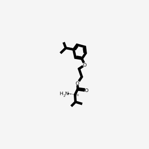 CC(C)c1cccc(OCCOC(=O)[C@@H](N)C(C)C)c1